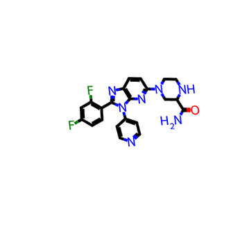 NC(=O)C1CN(c2ccc3nc(-c4ccc(F)cc4F)n(-c4ccncc4)c3n2)CCN1